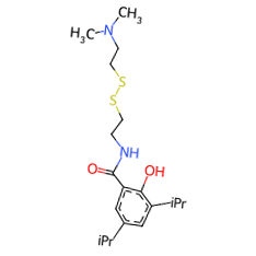 CC(C)c1cc(C(=O)NCCSSCCN(C)C)c(O)c(C(C)C)c1